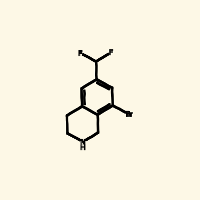 FC(F)c1cc(Br)c2c(c1)CCNC2